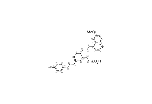 COc1ccc2nccc(CCCC3CCN(CCCc4ccc(F)cc4)CC3CCC(=O)O)c2c1